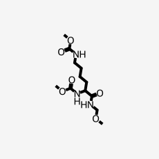 COCNC(=O)C(CCCCNC(=O)OC)NC(=O)OC